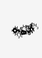 COc1ccnc(C(=O)N[C@H]2CC3OC2[C@H](C)[C@@H](OCc2ccccc2)[C@H]3C)c1O